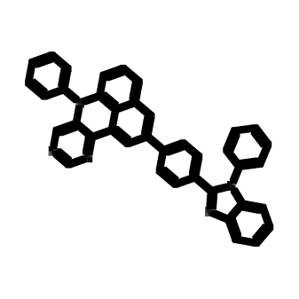 c1ccc(N2c3cncnc3-c3cc(-c4ccc(-c5nc6ccccc6n5-c5ccccc5)cc4)cc4cccc2c34)cc1